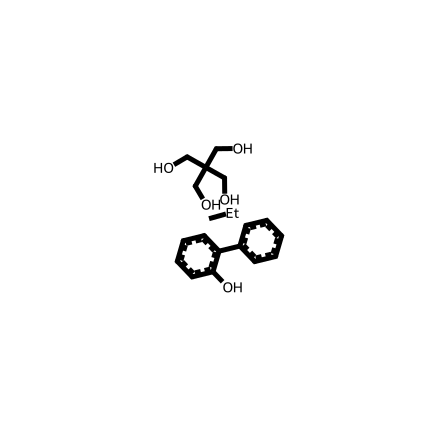 CCC.OCC(CO)(CO)CO.Oc1ccccc1-c1ccccc1